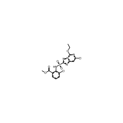 CCOc1nc(Cl)cc2nc(S(=O)(=O)Nc3c(Cl)cccc3C(=O)OC)nn12